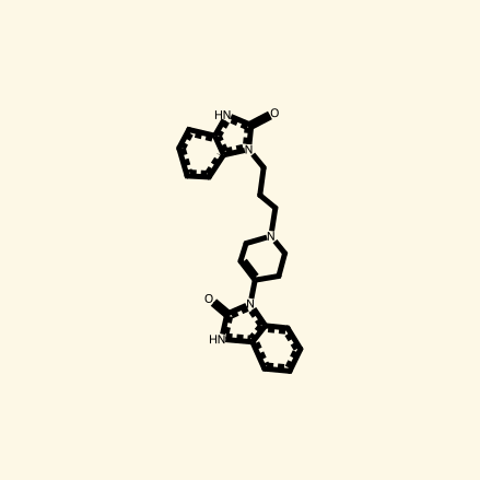 O=c1[nH]c2ccccc2n1CCCN1CC=C(n2c(=O)[nH]c3ccccc32)CC1